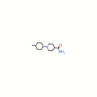 CC1CCC(N2CCC(C(N)=O)CC2)CC1